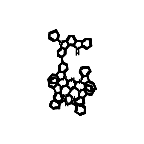 c1ccc(-c2nc(-c3ccccc3)nc(-c3c(-n4c5ccccc5c5ccccc54)c(-n4c5ccccc5c5ccccc54)nc(-n4c5ccccc5c5cc(-c6ccc7c(c6)c6c8[nH]c9ccccc9c8ccc6n7-c6ccccc6)ccc54)c3-n3c4ccccc4c4ccccc43)n2)cc1